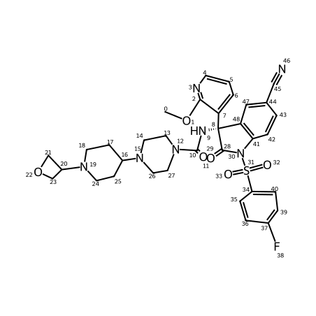 COc1ncccc1[C@]1(NC(=O)N2CCN(C3CCN(C4COC4)CC3)CC2)C(=O)N(S(=O)(=O)c2ccc(F)cc2)c2ccc(C#N)cc21